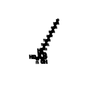 CCCCCCCCCCCCCCCC(=O)N[C@@H](C(=O)O)[C@H](C)O